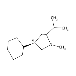 CC(C)C1C[C@H](C2CCCCC2)CN1C